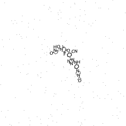 C[C@H]1C[C@H](Oc2ccc(-c3ncnc(Nc4ccc(N5CCN(C6COC6)CC5)cc4)n3)cc2C#N)[C@@H](F)CN1C(=O)[C@@H]1CCC(=O)N1